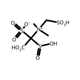 C[N+](C)(CS(=O)(=O)O)C(C(=O)O)(S(=O)O)S(=O)(=O)[O-]